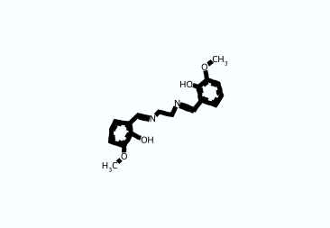 COc1cccc(/C=N/CC/N=C/c2cccc(OC)c2O)c1O